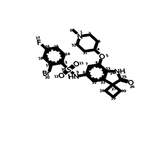 CN1CCC(Oc2cc(NS(=O)(=O)c3ccc(F)cc3Br)cc3c2NC(=O)C32CCC2)CC1